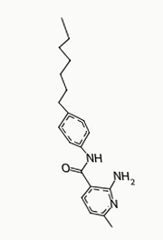 CCCCCCCc1ccc(NC(=O)c2ccc(C)nc2N)cc1